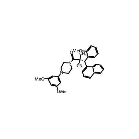 COc1cc(OC)cc(N2CCN(C(=O)C(C)(C#N)[C@H](c3ccccc3OC)c3cccc4ccccc34)CC2)c1